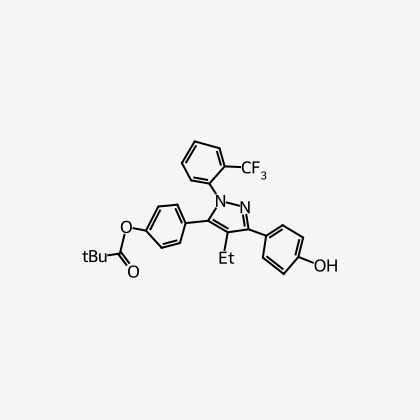 CCc1c(-c2ccc(O)cc2)nn(-c2ccccc2C(F)(F)F)c1-c1ccc(OC(=O)C(C)(C)C)cc1